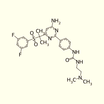 CN(C)CCNC(=O)Nc1ccc(-c2nc(N)cc(C(C)(C)S(=O)(=O)c3cc(F)cc(F)c3)n2)cc1